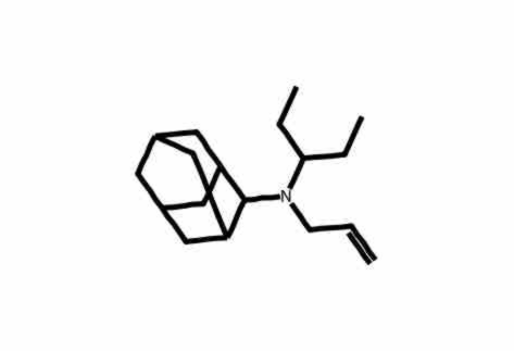 C=CCN(C(CC)CC)C1C2CC3CC(C2)CC1C3